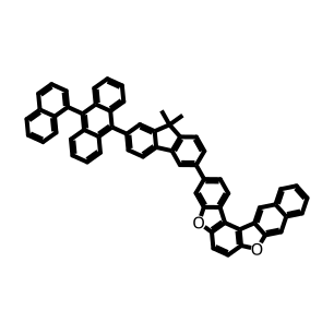 CC1(C)c2ccc(-c3ccc4c(c3)oc3ccc5oc6cc7ccccc7cc6c5c34)cc2-c2ccc(-c3c4ccccc4c(-c4cccc5ccccc45)c4ccccc34)cc21